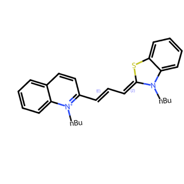 CCCCN1/C(=C/C=C/c2ccc3ccccc3[n+]2CCCC)Sc2ccccc21